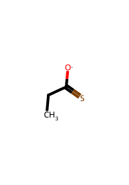 CCC([O])=S